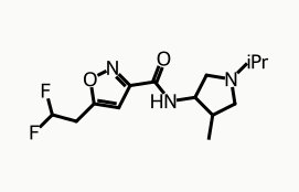 CC1CN(C(C)C)CC1NC(=O)c1cc(CC(F)F)on1